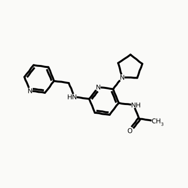 CC(=O)Nc1ccc(NCc2cccnc2)nc1N1CCCC1